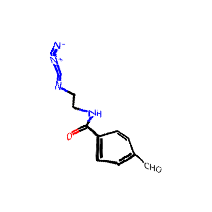 [N-]=[N+]=NCCNC(=O)c1ccc(C=O)cc1